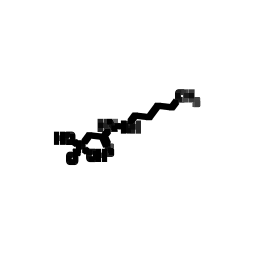 CCCCCNNC(=S)CP(=O)(O)O